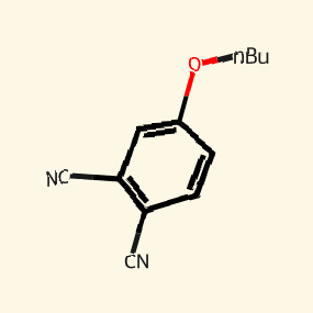 CCCCOc1ccc(C#N)c(C#N)c1